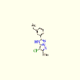 CC(=O)Cc1cccc(-c2nn3nc(C(C)(C)C)c(Cl)c3[nH]2)c1